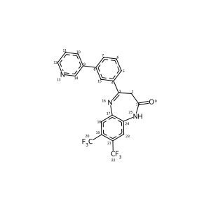 O=C1CC(c2cccc(-c3cccnc3)c2)=Nc2cc(C(F)(F)F)c(C(F)(F)F)cc2N1